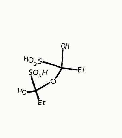 CCC(O)(OC(O)(CC)S(=O)(=O)O)S(=O)(=O)O